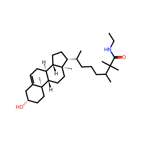 CCNC(=O)C(C)(C)C(C)CCCC(C)[C@H]1CC[C@H]2[C@@H]3CC=C4C[C@@H](O)CC[C@]4(C)[C@H]3CC[C@]12C